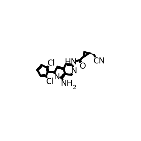 N#CC[C@@H]1CC1C(=O)Nc1cc2cc(-c3c(Cl)cccc3Cl)nc(N)c2cn1